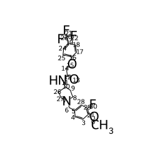 COc1ccc(CN2CCC(NC(=O)COc3ccc(C(F)(F)F)cc3)CC2)cc1F